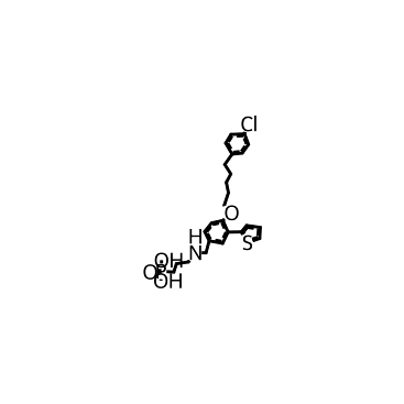 O=P(O)(O)CCCNCc1ccc(OCCCCCc2ccc(Cl)cc2)c(-c2cccs2)c1